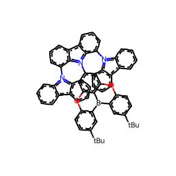 CC(C)(C)c1ccc2c(c1)B1c3cc(C(C)(C)C)ccc3Oc3cc(-n4c5c(-n6c7ccccc7c7ccccc76)cccc5c5cccc(-n6c7ccccc7c7ccccc76)c54)cc(c31)O2